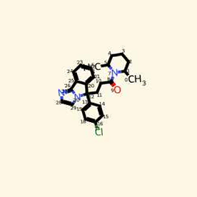 CC1CCCC(C)N1C(=O)CCC1(c2ccc(Cl)cc2)c2ccccc2-c2nccn21